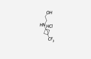 Cl.OCCNC12CC(C(F)(F)F)(C1)C2